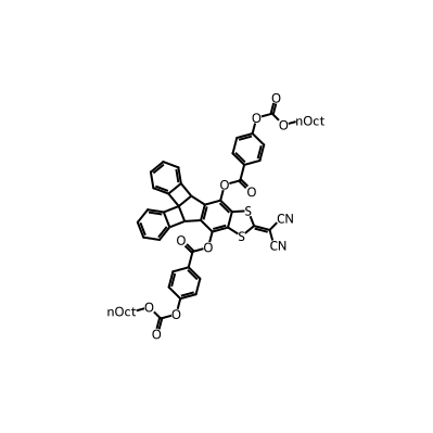 CCCCCCCCOC(=O)Oc1ccc(C(=O)Oc2c3c(c(OC(=O)c4ccc(OC(=O)OCCCCCCCC)cc4)c4c2C2c5ccccc5C25c2ccccc2C45)SC(=C(C#N)C#N)S3)cc1